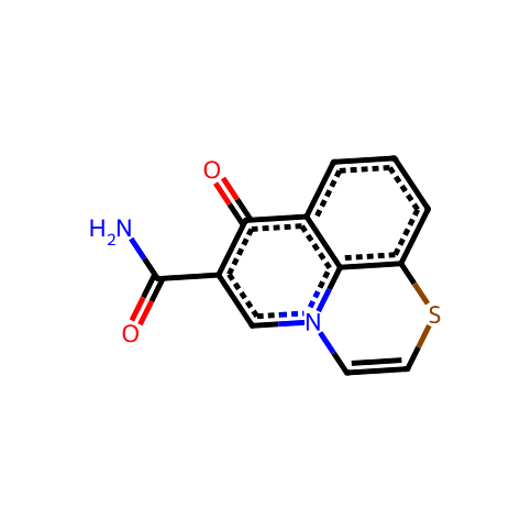 NC(=O)c1cn2c3c(cccc3c1=O)SC=C2